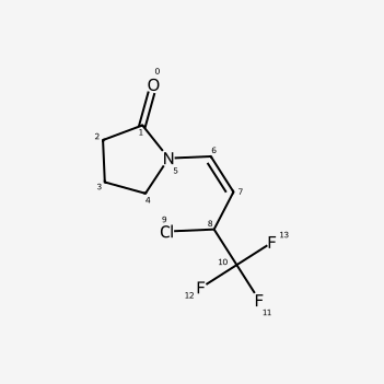 O=C1CCCN1/C=C\C(Cl)C(F)(F)F